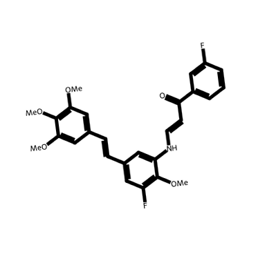 COc1cc(C=Cc2cc(F)c(OC)c(NC=CC(=O)c3cccc(F)c3)c2)cc(OC)c1OC